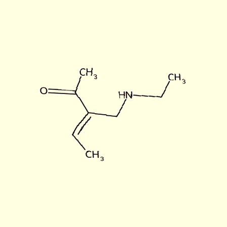 C/C=C(\CNCC)C(C)=O